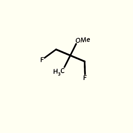 COC(C)(CF)CF